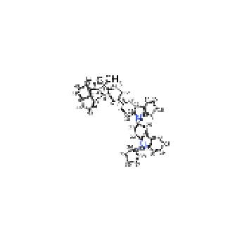 CC1(C)C2=C(C3=CC(C4C=Cc5c(c6ccccc6n5-c5ccc6c(c5)c5ccccc5n6-c5ccccc5)C4)=CCC31)c1cccc3cccc2c13